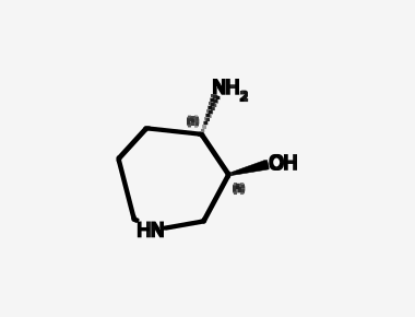 N[C@H]1CCCNC[C@@H]1O